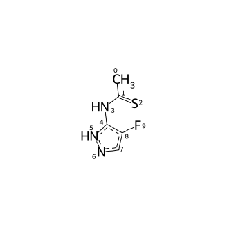 CC(=S)Nc1[nH]ncc1F